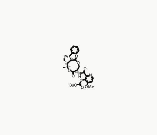 [CH2]C(C)[CH][C@H]1[C@H](C)OC(=O)[C@@H](NC(=O)c2nccc(OC)c2OC(=O)OCC(C)C)COC(=O)[C@@H]1Cc1ccccc1